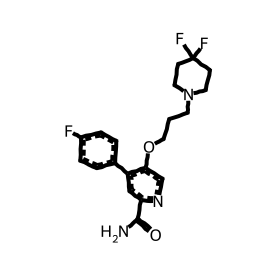 NC(=O)c1cc(-c2ccc(F)cc2)c(OCCCN2CCC(F)(F)CC2)cn1